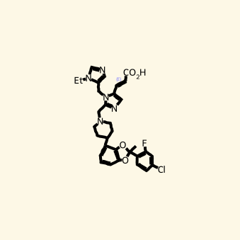 CCn1cncc1Cn1c(/C=C/C(=O)O)cnc1CN1CCC(c2cccc3c2OC(C)(c2ccc(Cl)cc2F)O3)CC1